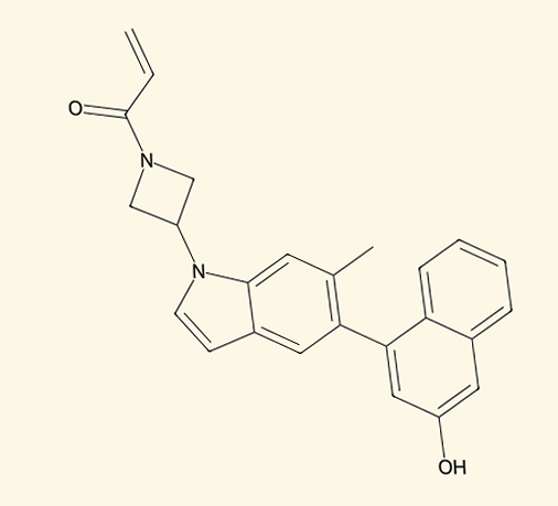 C=CC(=O)N1CC(n2ccc3cc(-c4cc(O)cc5ccccc45)c(C)cc32)C1